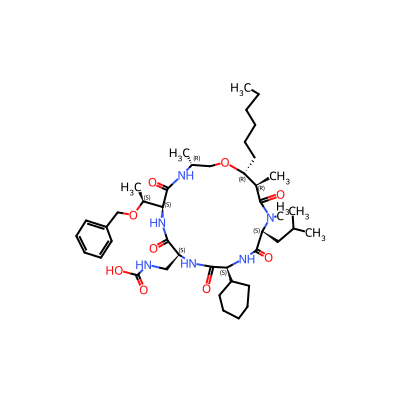 CCCCCC[C@H]1OC[C@@H](C)NC(=O)[C@H]([C@H](C)OCc2ccccc2)NC(=O)[C@H](CNC(=O)O)NC(=O)[C@H](C2CCCCC2)NC(=O)[C@H](CC(C)C)N(C)C(=O)[C@@H]1C